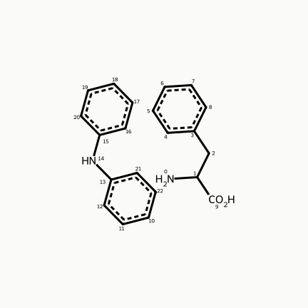 NC(Cc1ccccc1)C(=O)O.c1ccc(Nc2ccccc2)cc1